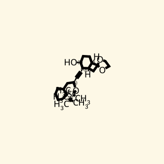 CC(C)(C)[Si](C)(C)O[C@H](C#C[C@H]1[C@@H]2CC3(OCCO3)[C@@H]2CC[C@@H]1O)CC1CCCCC1